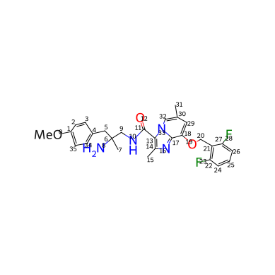 COc1ccc(CC(C)(N)CNC(=O)c2c(C)nc3c(OCc4c(F)cccc4F)cc(C)cn23)cc1